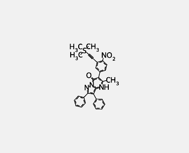 Cc1[nH]c2c(-c3ccccc3)c(-c3ccccc3)nn2c(=O)c1-c1ccc([N+](=O)[O-])c(C#CS(C)(C)C)c1